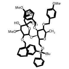 C=CC1(CC(=O)OC)O[C@@H](O[C@@H]2C(CO[Si](c3ccccc3)(c3ccccc3)C(C)(C)C)O[C@H](C)C(OCc3ccc(OC)cc3)[C@@H]2OCc2ccc(OC)cc2)C(OCc2ccccc2)[C@@H](OC)[C@@H]1O